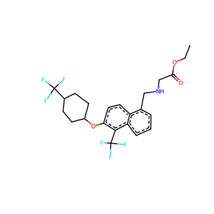 CCOC(=O)CNCc1cccc2c(C(F)(F)F)c(OC3CCC(C(F)(F)F)CC3)ccc12